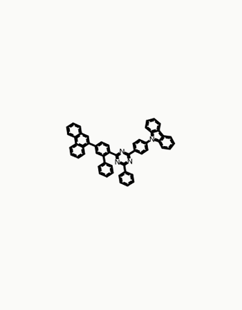 c1ccc(-c2nc(-c3ccc(-n4c5ccccc5c5ccccc54)cc3)nc(-c3ccc(-c4cc5ccccc5c5ccccc45)cc3-c3ccccc3)n2)cc1